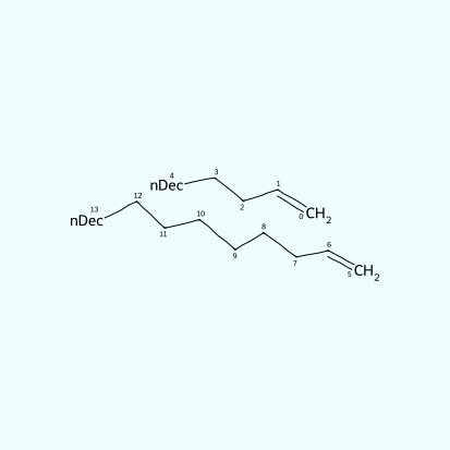 C=CCCCCCCCCCCCC.C=CCCCCCCCCCCCCCCCC